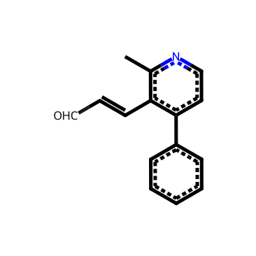 Cc1nccc(-c2ccccc2)c1C=CC=O